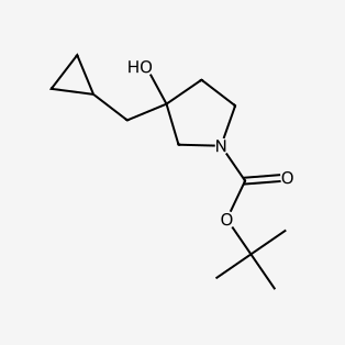 CC(C)(C)OC(=O)N1CCC(O)(CC2CC2)C1